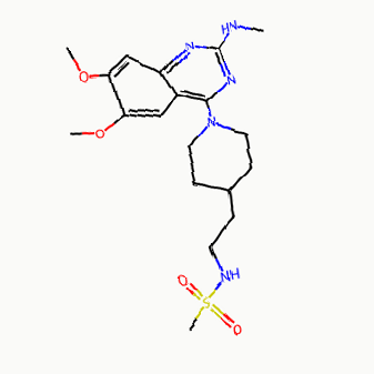 CNc1nc(N2CCC(CCNS(C)(=O)=O)CC2)c2cc(OC)c(OC)cc2n1